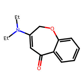 CCN(CC)C1=CC(=O)c2ccccc2OC1